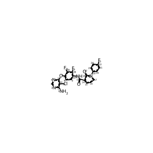 Nc1ncnc(Oc2ccc(NC(=O)c3cccn(-c4ccc(F)cc4)c3=O)c(F)c2F)c1Cl